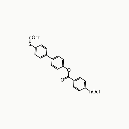 CCCCCCCCSc1ccc(-c2ccc(OC(=O)c3ccc(CCCCCCCC)cc3)cc2)cc1